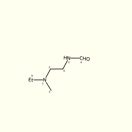 CCN(C)CCNC=O